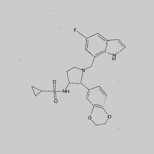 O=S(=O)(NC1CCN(Cc2cc(F)cc3cc[nH]c23)C1c1ccc2c(c1)OCCO2)C1CC1